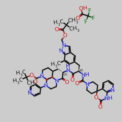 Cc1cc(C[C@@H](NC(=O)N2CCC3(CC2)OC(=O)Nc2ncccc23)C(=O)N[C@@H](CC2CCN(C(=O)OC(C)(C)C)CC2)C(=O)N2CCN(c3ccncc3)CC2)cc2cn(COC(=O)C(C)(C)C)nc12.O=C(O)C(F)(F)F